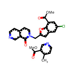 COC(=O)c1cc(Cl)cc2cc(Cn3ccc4ccncc4c3=O)oc12.COC(=O)c1cnccc1C